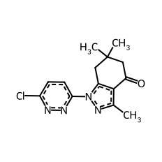 Cc1nn(-c2ccc(Cl)nn2)c2c1C(=O)CC(C)(C)C2